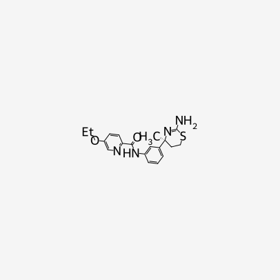 CCOc1ccc(C(=O)Nc2cccc([C@]3(C)CCSC(N)=N3)c2)nc1